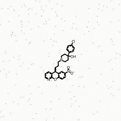 O=[N+]([O-])c1ccc2c(c1)C(=CCCN1CCC(O)(c3ccc(Cl)cc3)CC1)c1cccnc1O2